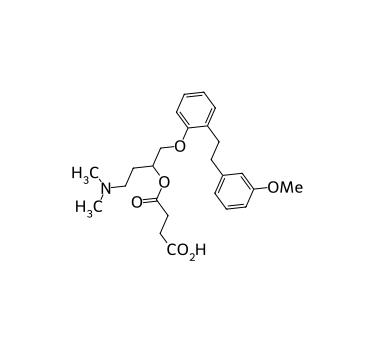 COc1cccc(CCc2ccccc2OCC(CCN(C)C)OC(=O)CCC(=O)O)c1